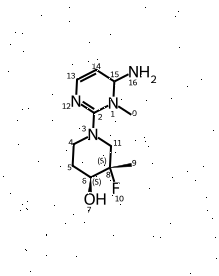 CN1C(N2CC[C@H](O)[C@@](C)(F)C2)=NC=CC1N